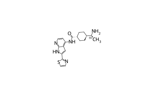 C[C@H](N)[C@H]1CC[C@H](C(=O)Nc2ccnc3[nH]c(-c4nccs4)cc23)CC1